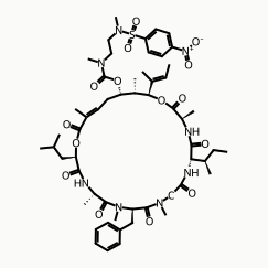 C/C=C(\C)[C@H]1OC(=O)[C@@H](C)NC(=O)[C@H]([C@H](C)CC)NC(=O)CN(C)C(=O)[C@@H](Cc2ccccc2)N(C)C(=O)[C@H](C)NC(=O)[C@@H](CC(C)C)OC(=O)/C(C)=C/C[C@H](OC(=O)N(C)CCN(C)S(=O)(=O)c2ccc([N+](=O)[O-])cc2)[C@@H]1C